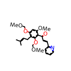 COCOc1cc(OC)c(C(=O)/C=C/c2ccccn2)c(OCOC)c1CC=C(C)C